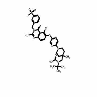 Cc1nc2ccc(Sc3cnc(N4CCC(C)(CN(C(=O)O)C(C)(C)C)CC4)cn3)c(Cl)c2c(=O)n1Cc1cccc(S(=O)(=O)F)c1